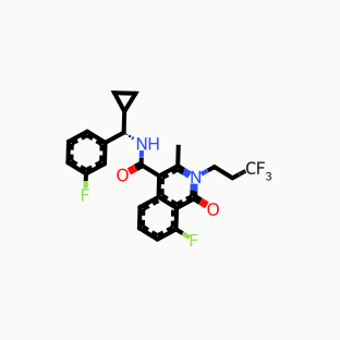 Cc1c(C(=O)N[C@H](c2cccc(F)c2)C2CC2)c2cccc(F)c2c(=O)n1CCC(F)(F)F